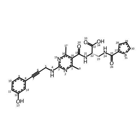 Cc1nc(NCC#Cc2cccc(O)c2)nc(C)c1C(=O)N[C@@H](CNC(=O)c1cccs1)C(=O)O